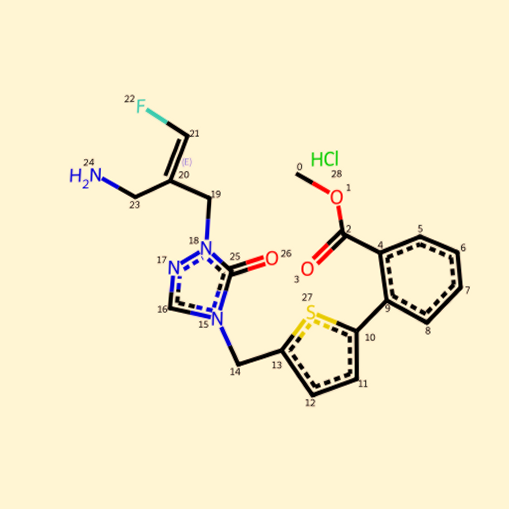 COC(=O)c1ccccc1-c1ccc(Cn2cnn(C/C(=C/F)CN)c2=O)s1.Cl